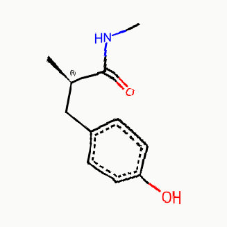 CNC(=O)[C@H](C)Cc1ccc(O)cc1